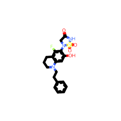 O=C1CN(c2c(O)cc3c(c2F)CCCN3CCc2ccccc2)S(=O)(=O)N1